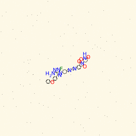 Nc1ncnc2c1c(-c1ccc(Oc3ccccc3)cc1)nn2C1CCC2(CC1F)CN(C1CN(c3ccc4c(c3)C(=O)N(C3CCC(=O)NC3=O)C4=O)C1)C2